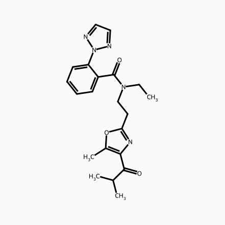 CCN(CCc1nc(C(=O)C(C)C)c(C)o1)C(=O)c1ccccc1-n1nccn1